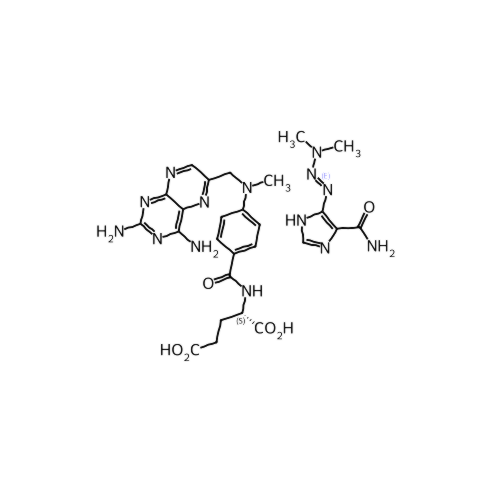 CN(C)/N=N/c1[nH]cnc1C(N)=O.CN(Cc1cnc2nc(N)nc(N)c2n1)c1ccc(C(=O)N[C@@H](CCC(=O)O)C(=O)O)cc1